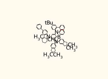 CC1(C)Cc2ccc(N3c4cc5c(cc4B4c6ccccc6N(c6ccc(C(C)(C)C)cc6-c6ccccc6)c6cc(N7c8ccc(-c9ccccc9)cc8C8(C)CCCCC78C)cc3c64)CC(C)(C)C5)cc2C1